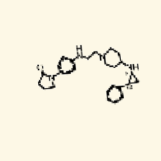 O=C1CCCN1c1ccc(NCCN2CCC(N[C@@H]3C[C@H]3c3ccccc3)CC2)cc1